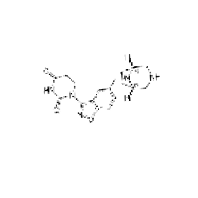 O=C1CCN(c2noc3ccc(CN4[C@@H]5CC[C@H]4CNC5)cc23)C(=O)N1